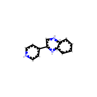 c1ccc2nc(-c3ccncc3)cnc2c1